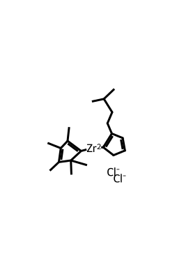 CC1=C(C)C(C)(C)[C]([Zr+2][C]2=C(CCC(C)C)C=CC2)=C1C.[Cl-].[Cl-]